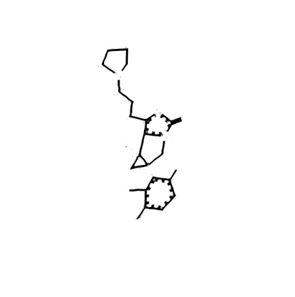 Fc1ccc(Cl)c(F)c1[C@]12C[C@H]1c1c(CCCN3CCCC3)[nH]c(=S)n1C2